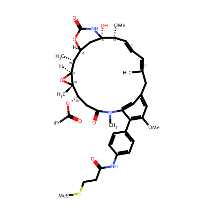 COc1cc2cc(c1-c1ccc(NC(=O)CCSSC)cc1)N(C)C(=O)C[C@H](OC(=O)C(C)C)[C@]1(C)O[C@H]1[C@H](C)[C@@H]1C[C@@](O)(NC(=O)O1)[C@H](OC)/C=C/C=C(\C)C2